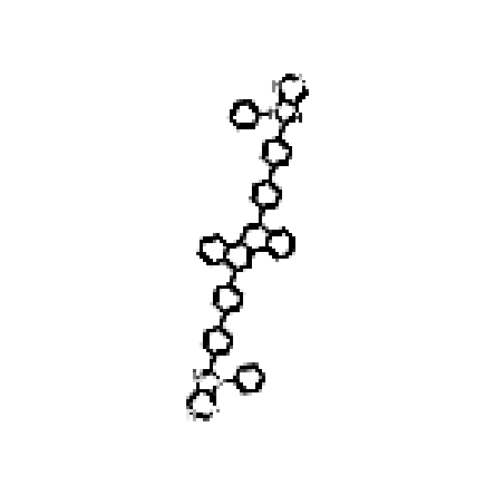 c1ccc(-n2c(-c3ccc(-c4ccc(-c5cc6c7ccccc7c(-c7ccc(-c8ccc(-c9nc%10cncnc%10n9-c9ccccc9)cc8)cc7)cc6c6ccccc56)cc4)cc3)nc3cncnc32)cc1